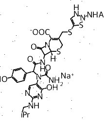 CC(=O)NN1NC=C(SCC2=C(C(=O)[O-])N3C(=O)C(NC(=O)C(c4ccc(O)cc4)N(C(N)=O)c4cnc(NCC(C)C)nc4O)[C@H]3SC2)S1.[Na+]